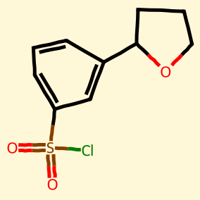 O=S(=O)(Cl)c1cccc(C2CCCO2)c1